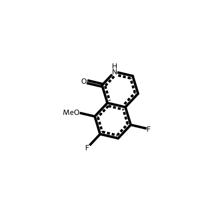 COc1c(F)cc(F)c2cc[nH]c(=O)c12